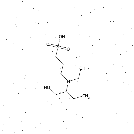 CCC(CO)N(CO)CCCS(=O)(=O)O